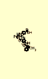 Cn1cc(C(=O)Nc2cc(F)c(CC(=O)N3C[C@@H](F)C[C@H]3C(=O)N[C@H]3CC[C@H](C(=O)O)CC3)cc2Cl)c2ccccc21